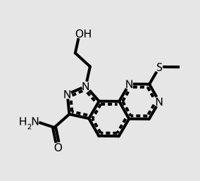 CSc1ncc2ccc3c(C(N)=O)nn(CCO)c3c2n1